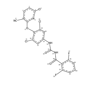 N#Cc1ccc(Cl)nc1Oc1c(Cl)cc(NC(=O)NC(=O)c2c(F)cccc2F)cc1Cl